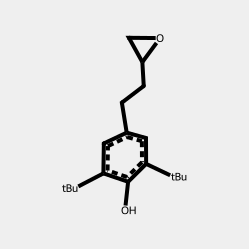 CC(C)(C)c1cc(CCC2CO2)cc(C(C)(C)C)c1O